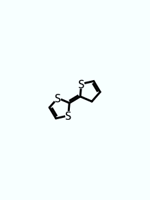 C1=CSC(=C2SC=CS2)C1